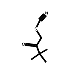 CC(C)(C)C(=O)CSC#N